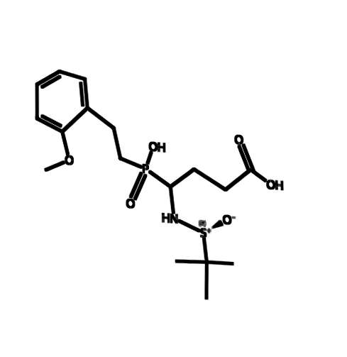 COc1ccccc1CCP(=O)(O)C(CCC(=O)O)N[S@@+]([O-])C(C)(C)C